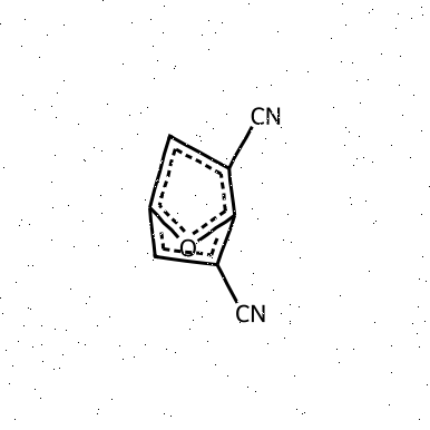 N#Cc1cc2cc(C#N)c1o2